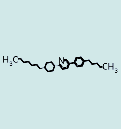 CCCCCCC[C@H]1CC[C@H](c2ccc(-c3ccc(CCCCC)cc3)cn2)CC1